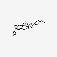 COC[C@]12Cc3cnn(-c4ccc(F)cc4)c3C=C1CCN(S(=O)(=O)c1ccc(N3CCN(C)CC3)nc1)C2